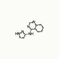 [c]1nc(Nc2cc[nH]n2)c2ccccc2n1